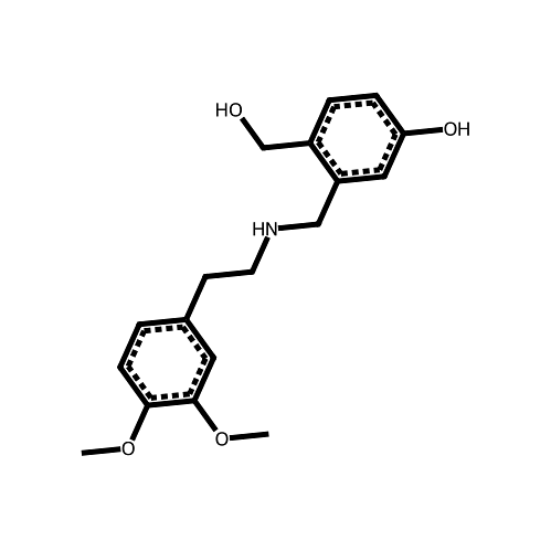 COc1ccc(CCNCc2cc(O)ccc2CO)cc1OC